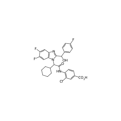 O=C(O)c1ccc(NC(=O)C(C2CCCCC2)n2c(C(O)c3ccc(F)cc3)nc3cc(F)c(F)cc32)c(Cl)c1